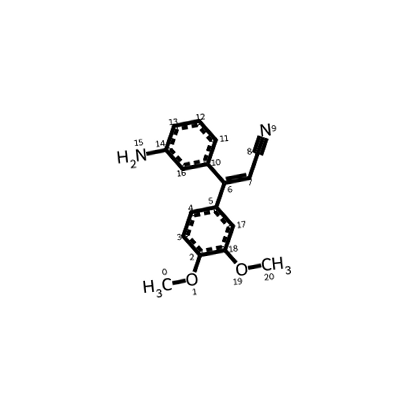 COc1ccc(/C(=C/C#N)c2cccc(N)c2)cc1OC